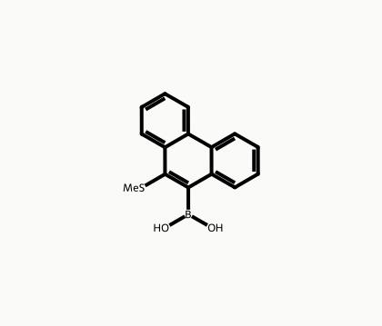 CSc1c(B(O)O)c2ccccc2c2ccccc12